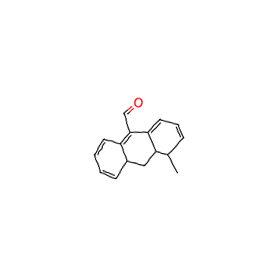 CC1C=CC=C2C(C=O)=C3C=CC=CC3CC21